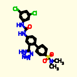 CN(C)S(=O)(=O)c1ccc(-c2ccc(NC(=O)Nc3cc(Cl)cc(Cl)c3)cc2-c2nnn[nH]2)cc1